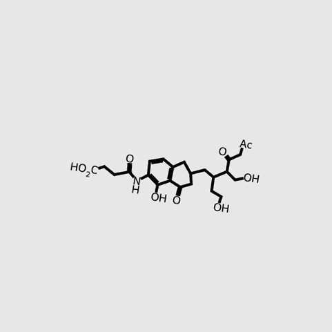 CC(=O)CC(=O)C(CO)C(CCO)CC1CC(=O)c2c(ccc(NC(=O)CCC(=O)O)c2O)C1